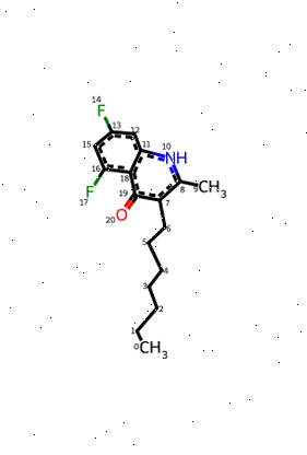 CCCCCCCc1c(C)[nH]c2cc(F)cc(F)c2c1=O